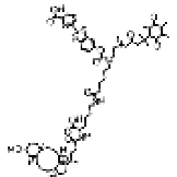 CC1=C(C)C(=O)C(C(C)(C)CC(=O)CN(C)CCN(CCCCCC(=O)NCCCCC(NC(=O)CC[C@@H](C)[C@H]2CC[C@H]3[C@@H](C)CC[C@@H]4C[C@H](O)CC[C@]4(C)CC[C@@H]4O[C@@]423)C(=O)O)C(=O)Oc2ccc3nc(C4=NC(C(=O)O)CS4)sc3c2)=C(C)C1=O